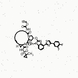 CC(C)n1c(O[C@@H]2C[C@H]3C(=O)N[C@]4(C(=O)NS(=O)(=O)C5(C)CC5)C[C@H]4/C=C\CCCCC[C@H](NC(=O)OC(C)(C)C)C(=O)N3C2)nc2c(-c3nc(-c4ccc(F)c(F)c4)cs3)cccc21